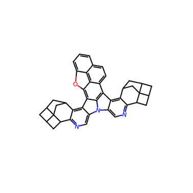 c1cc2ccc3c4c(oc(c1)c24)c1c2c4c(ncc2n2c5cnc6c(c5c3c12)C1CC2CC3CC6C23C1)C1CC2CC3CC4CC321